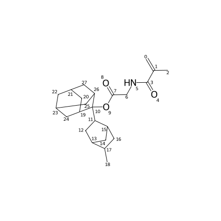 C=C(C)C(=O)NCC(=O)OC1(C2CC3CC2CC3C)C2CC3CC(C2)CC1C3